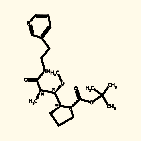 CO[C@H]([C@@H](C)C(=O)NCCc1cccnc1)[C@@H]1CCCN1C(=O)OC(C)(C)C